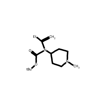 C=C(CC)N(C(=O)OC(C)(C)C)C1CCN(C)CC1